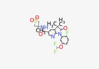 CC1(NC(=O)c2cnc3c(c2)C(C)(C)C(=O)N3c2cc(OC(F)F)ccc2F)CS(=O)(=O)C1